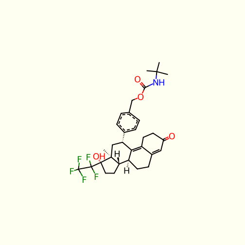 CC(C)(C)NC(=O)OCc1ccc([C@H]2C[C@@]3(C)[C@@H](CC[C@@]3(O)C(F)(F)C(F)(F)F)[C@@H]3CCC4=CC(=O)CCC4=C32)cc1